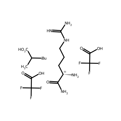 CCC(C)C(C)C(=O)O.N=C(N)NCCC[C@H](N)C(N)=O.O=C(O)C(F)(F)F.O=C(O)C(F)(F)F